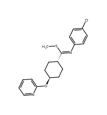 CSC(=Nc1ccc(Cl)cc1)[C@H]1CC[C@H](Oc2ccccn2)CC1